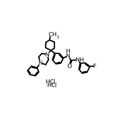 CC1CCC(c2cccc(NC(=O)Nc3cccc(F)c3)c2)(N2CCN(c3ccccc3)CC2)CC1.Cl.Cl